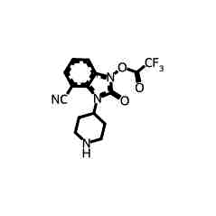 N#Cc1cccc2c1n(C1CCNCC1)c(=O)n2OC(=O)C(F)(F)F